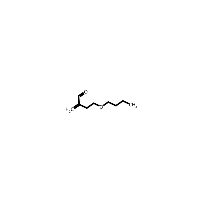 C=C([C]=O)CCOCCCC